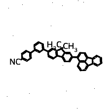 CC1(C)c2cc(-c3cccc(-c4ccc(C#N)cc4)c3)ccc2-c2ccc(-c3ccc4c5c(cccc35)-c3ccccc3-4)cc21